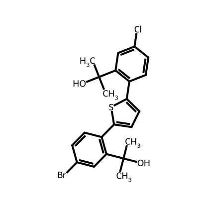 CC(C)(O)c1cc(Cl)ccc1-c1ccc(-c2ccc(Br)cc2C(C)(C)O)s1